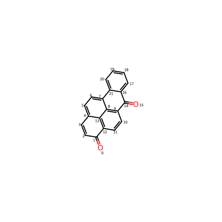 O=C1C=Cc2ccc3c4c(ccc1c24)C(=O)c1ccccc1-3